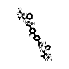 COC(=O)NC(C(=O)N1CCC[C@H]1c1ncc(-c2ccc(-c3ccc(-c4cnc([C@H]5CCCC[C@@H]5C(=O)N(NC(=O)OC)C(C)C)[nH]4)cc3F)cc2)[nH]1)C(C)C